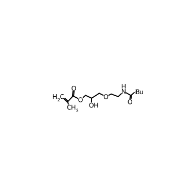 C=C(C)C(=O)OCC(O)COCCNC(=O)C(C)CC